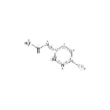 CN/N=c1/ccc(C)n[nH]1